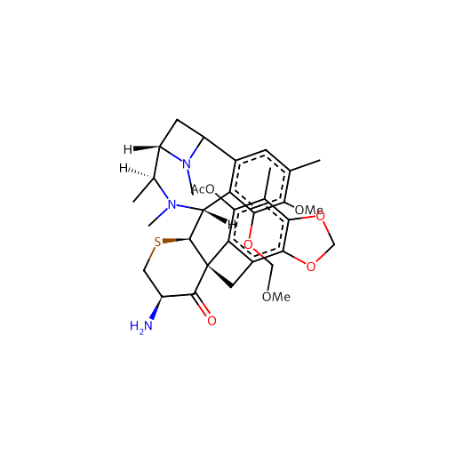 COCOc1c(OC)c(C)cc2c1[C@H]([C@@H]1SC[C@H](N)C(=O)[C@]13Cc1c4c(c(C)c(OC(C)=O)c13)OCO4)N(C)[C@@H](C)[C@@H]1CC2N1C